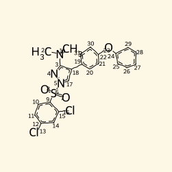 CN(C)c1nn(S(=O)(=O)c2ccc(Cl)cc2Cl)cc1-c1ccc(Oc2ccccc2)cc1